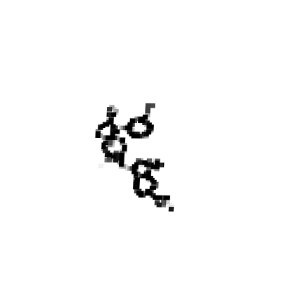 C[C@@H]1C[C@]2(CCC(=O)N2c2cccc(F)c2)CCN1Cc1c[nH]c2cc(C(F)(F)F)ccc12